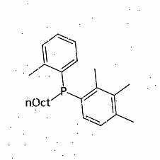 CCCCCCCCP(c1ccccc1C)c1ccc(C)c(C)c1C